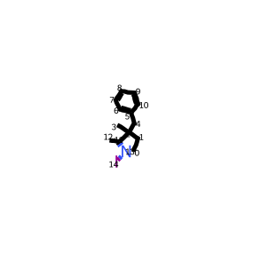 CCC(C)(Cc1ccccc1)/C(C)=N/I